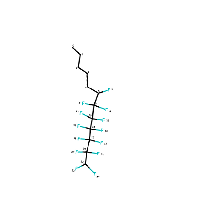 CCCCCC(F)C(F)(F)C(F)(F)C(F)(F)C(F)(F)C(F)(F)[C](F)F